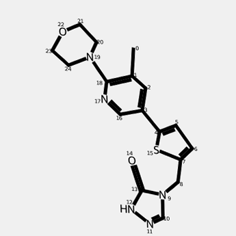 Cc1cc(-c2ccc(Cn3cn[nH]c3=O)s2)cnc1N1CCOCC1